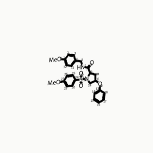 COc1ccc(CNC(=O)C2CC(Oc3ccccc3)CN2S(=O)(=O)c2ccc(OC)cc2)cc1